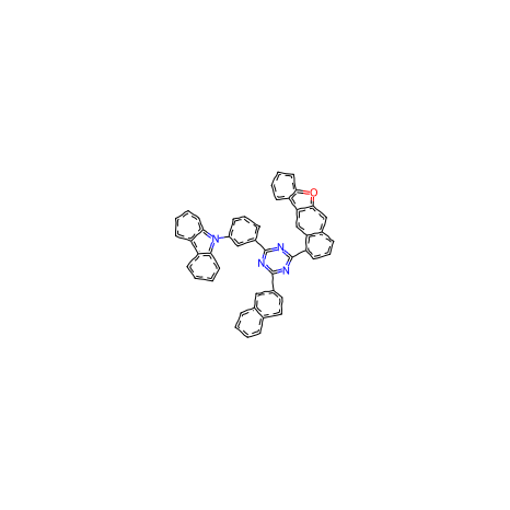 c1cc(-c2nc(-c3ccc4ccccc4c3)nc(-c3cccc4cc5oc6ccccc6c5cc34)n2)cc(-n2c3ccccc3c3ccccc32)c1